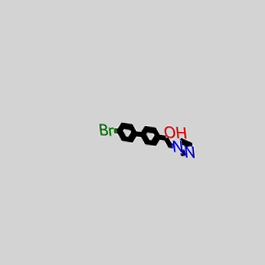 OC(Cn1ccnc1)c1ccc(-c2ccc(Br)cc2)cc1